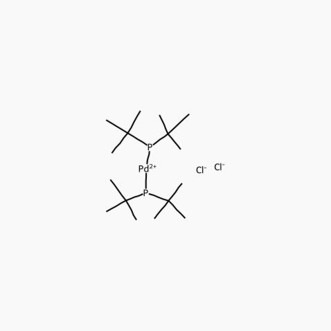 CC(C)(C)[P]([Pd+2][P](C(C)(C)C)C(C)(C)C)C(C)(C)C.[Cl-].[Cl-]